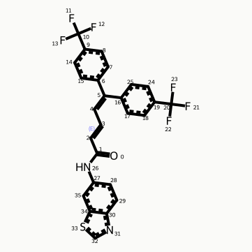 O=C(/C=C/C=C(c1ccc(C(F)(F)F)cc1)c1ccc(C(F)(F)F)cc1)Nc1ccc2ncsc2c1